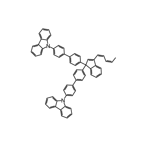 C/C=C\C=C/C1=CC(c2ccc(-c3ccc(-n4c5ccccc5c5ccccc54)cc3)cc2)(c2ccc(-c3ccc(-n4c5ccccc5c5ccccc54)cc3)cc2)c2ccccc21